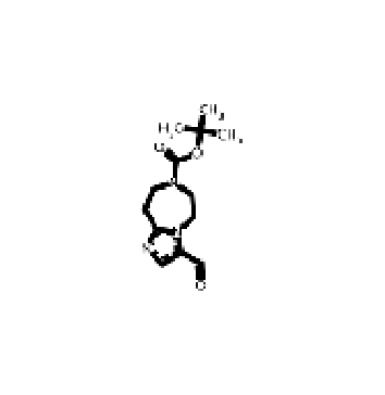 CC(C)(C)OC(=O)N1CCc2ncc(C=O)n2CC1